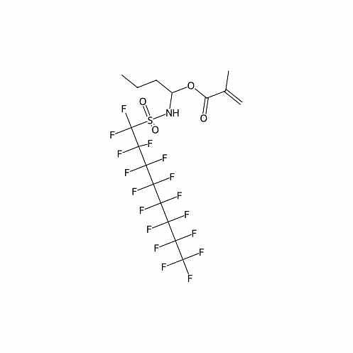 C=C(C)C(=O)OC(CCC)NS(=O)(=O)C(F)(F)C(F)(F)C(F)(F)C(F)(F)C(F)(F)C(F)(F)C(F)(F)C(F)(F)F